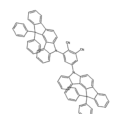 N#Cc1cc(-n2c3ccccc3c3c4c(ccc32)-c2ccccc2C4(c2ccccc2)c2ccccc2)cc(-n2c3ccccc3c3c4c(ccc32)-c2ccccc2C4(c2ccccc2)c2ccccc2)c1C#N